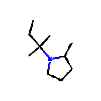 CCC(C)(C)N1CCCC1C